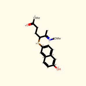 CON=C(C)C(CCC(=O)OC)Sc1ccc2cc(O)ccc2c1